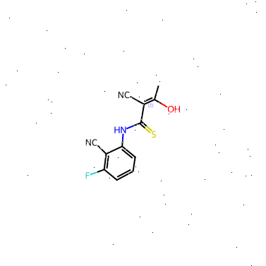 C/C(O)=C(\C#N)C(=S)Nc1cccc(F)c1C#N